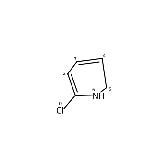 ClC1=CC=CCN1